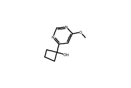 COc1cc(C2(O)CCC2)ncn1